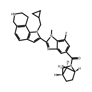 Cn1c(-c2cc3ccc4c(c3n2CC2CC2)CCNC4)nc2cc(C(=O)N3C[C@H]4CC[C@@H]3[C@@H]4N)cc(F)c21